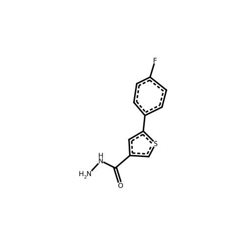 NNC(=O)c1csc(-c2ccc(F)cc2)c1